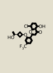 C=C(O)[C@H]1C[C@@H](Oc2cc(C(F)(F)F)ccc2-c2cc(=O)c3c(O)ccc(Cl)c3o2)C1